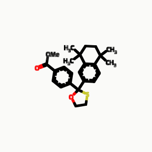 COC(=O)c1ccc(C2(c3ccc4c(c3)C(C)(C)CCC4(C)C)OCCS2)cc1